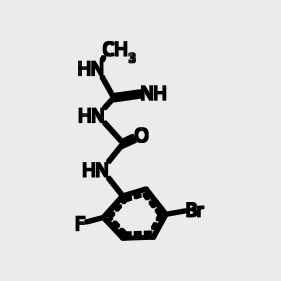 CNC(=N)NC(=O)Nc1cc(Br)ccc1F